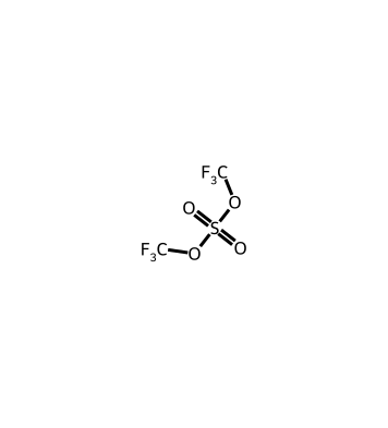 O=S(=O)(OC(F)(F)F)OC(F)(F)F